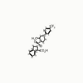 CC1CN(c2ccc(C(F)(F)F)cn2)CCN1S(=O)(=O)[C@H]1Cc2ccccc2C1C(=O)O